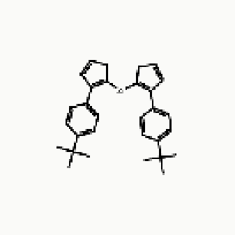 CC(C)(C)c1ccc(C2=[C]([Zr][C]3=C(c4ccc(C(C)(C)C)cc4)C=CC3)CC=C2)cc1